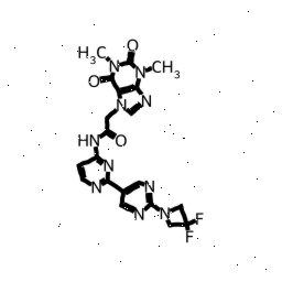 Cn1c(=O)c2c(ncn2CC(=O)Nc2ccnc(-c3cnc(N4CC(F)(F)C4)nc3)n2)n(C)c1=O